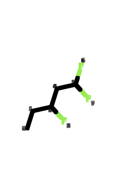 CCC(F)CC(F)F